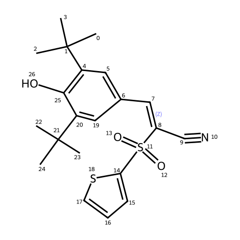 CC(C)(C)c1cc(/C=C(/C#N)S(=O)(=O)c2cccs2)cc(C(C)(C)C)c1O